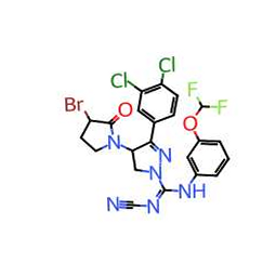 N#CN=C(Nc1cccc(OC(F)F)c1)N1CC(N2CCC(Br)C2=O)C(c2ccc(Cl)c(Cl)c2)=N1